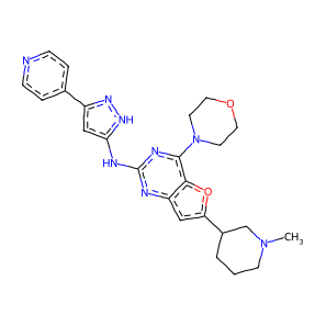 CN1CCCC(c2cc3nc(Nc4cc(-c5ccncc5)n[nH]4)nc(N4CCOCC4)c3o2)C1